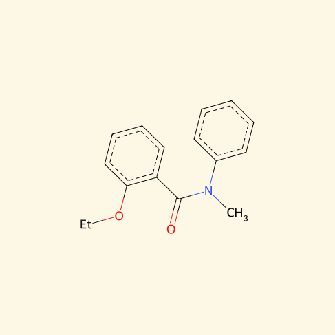 CCOc1ccccc1C(=O)N(C)c1ccccc1